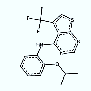 CC(C)Oc1ccccc1Nc1ncnc2scc(C(F)(F)F)c12